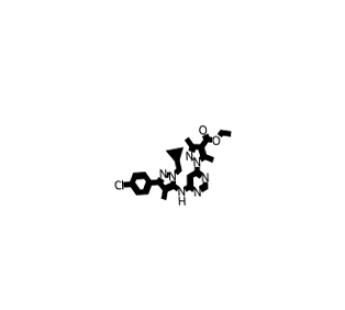 CCOC(=O)c1c(C)nn(-c2cc(Nc3c(C)c(-c4ccc(Cl)cc4)nn3CC3CC3)ncn2)c1C